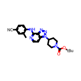 Cc1cc(C#N)ccc1Nc1nccc2c1nnn2C1CCN(C(=O)OC(C)(C)C)CC1